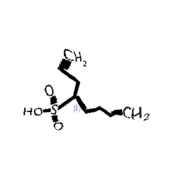 C=CC/C=C(\CC=C)S(=O)(=O)O